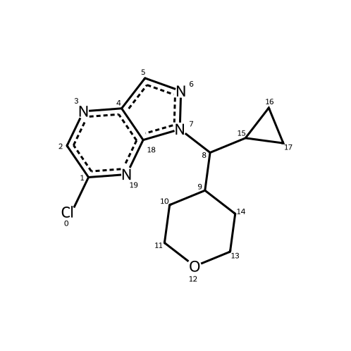 Clc1cnc2cnn(C(C3CCOCC3)C3CC3)c2n1